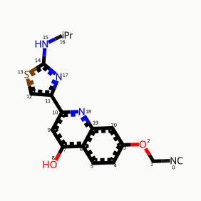 [C-]#[N+]COc1ccc2c(O)cc(-c3csc(NC(C)C)n3)nc2c1